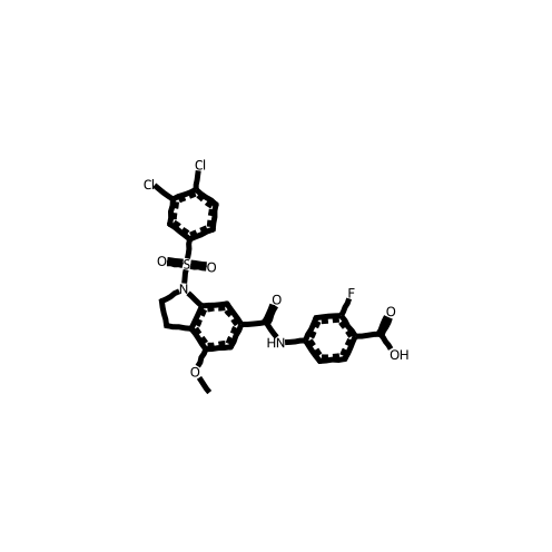 COc1cc(C(=O)Nc2ccc(C(=O)O)c(F)c2)cc2c1CCN2S(=O)(=O)c1ccc(Cl)c(Cl)c1